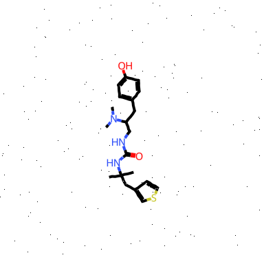 CN(C)C(CNC(=O)NC(C)(C)Cc1ccsc1)Cc1ccc(O)cc1